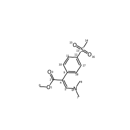 COC(=O)/C(=C/N(C)C)c1ccc(S(C)(=O)=O)cc1